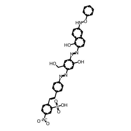 O=[N+]([O-])c1ccc(C=Cc2ccc(N=Nc3cc(O)c(N=Nc4ccc5cc(NOc6ccccc6)ccc5c4O)cc3CO)cc2)c(S(=O)(=O)O)c1